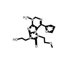 COCCn1c(=O)n(CCO)c2nc3c(n21)C(c1ccco1)=NCN3N